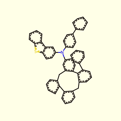 c1ccc(-c2ccc(N(c3ccc4c(c3)Cc3ccccc3-c3ccccc3Cc3cccc(-c5ccccc5)c3-4)c3ccc4sc5ccccc5c4c3)cc2)cc1